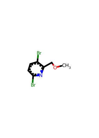 COCc1nc(Br)ccc1Br